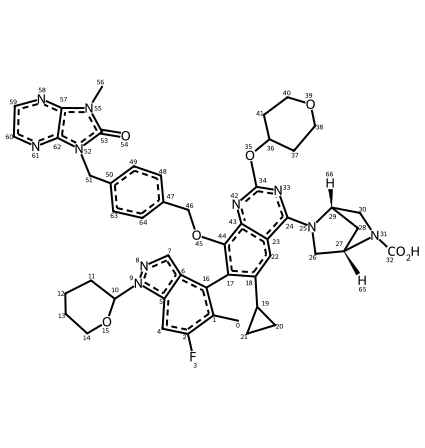 Cc1c(F)cc2c(cnn2C2CCCCO2)c1-c1c(C2CC2)cc2c(N3C[C@@H]4C[C@H]3CN4C(=O)O)nc(OC3CCOCC3)nc2c1OCc1ccc(Cn2c(=O)n(C)c3nccnc32)cc1